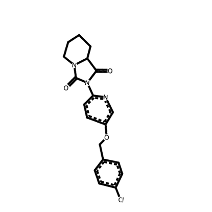 O=C1C2CCCCN2C(=O)N1c1ccc(OCc2ccc(Cl)cc2)cn1